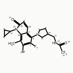 Cc1c(Br)c(F)c(N2CCC(CNC(=O)C(F)(F)F)C2)c2ccc(=O)n(C3CC3)c12